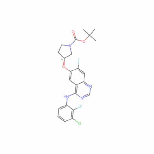 CC(C)(C)OC(=O)N1CC[C@H](Oc2cc3c(Nc4cccc(Cl)c4F)ncnc3cc2F)C1